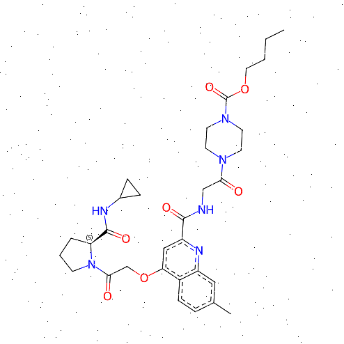 CCCCOC(=O)N1CCN(C(=O)CNC(=O)c2cc(OCC(=O)N3CCC[C@H]3C(=O)NC3CC3)c3ccc(C)cc3n2)CC1